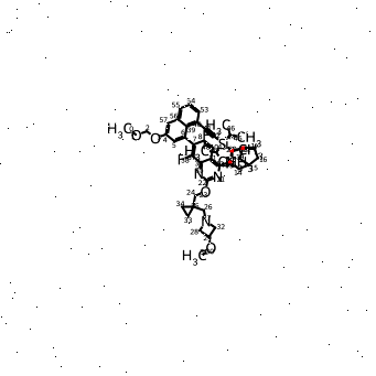 COCOc1cc(-c2c(F)cc3c(N4CC5CCC(C5)C4)nc(OCC4(CN5CC(OC)C5)CC4)nc3c2F)c2c(C#C[Si](C(C)C)(C(C)C)C(C)C)cccc2c1